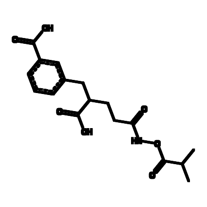 CC(C)C(=O)ONC(=O)CCC(Cc1cccc(C(=O)O)c1)C(=O)O